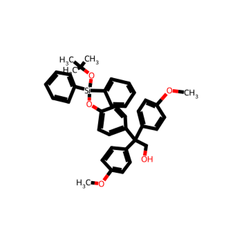 COc1ccc(C(CO)(c2ccc(OC)cc2)c2ccc(O[Si](OC(C)(C)C)(c3ccccc3)c3ccccc3)cc2)cc1